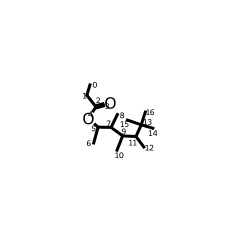 CCC(=O)OC(C)C(C)C(C)C(C)C(C)(C)C